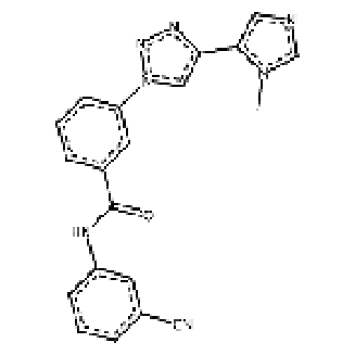 Cn1cncc1-c1cn(-c2cccc(C(=O)Nc3cccc(C#N)c3)c2)nn1